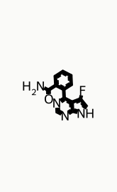 NC(=O)c1ccccc1-c1ncnc2[nH]cc(F)c12